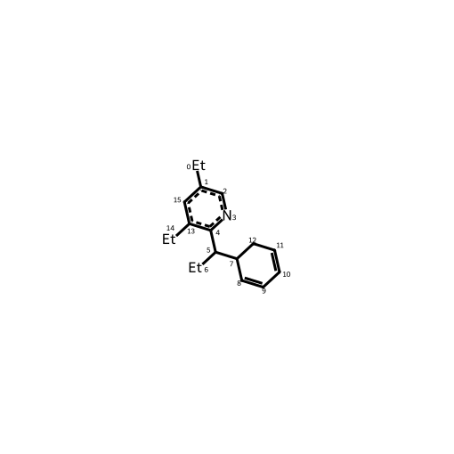 CCc1cnc(C(CC)C2C=CC=CC2)c(CC)c1